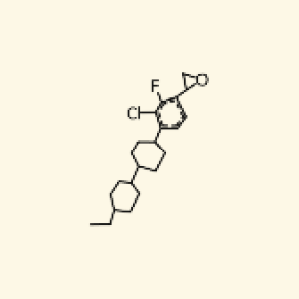 CCC1CCC(C2CCC(c3ccc(C4CO4)c(F)c3Cl)CC2)CC1